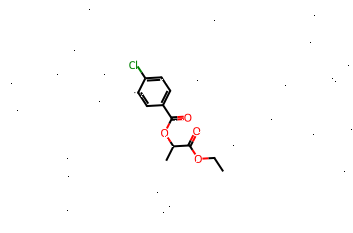 CCOC(=O)C(C)OC(=O)c1c[c]c(Cl)cc1